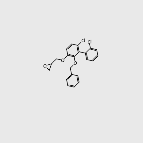 Clc1ccccc1-c1c(Cl)ccc(OCC2CO2)c1OCc1ccccc1